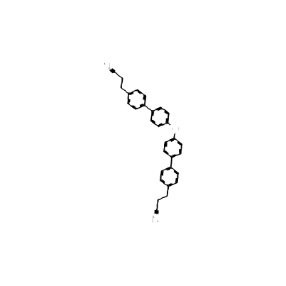 N#CCCc1ccc(-c2ccc(Oc3ccc(-c4ccc(CCC#N)cc4)cc3)cc2)cc1